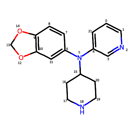 c1cncc(N(c2ccc3c(c2)OCO3)C2CCNCC2)c1